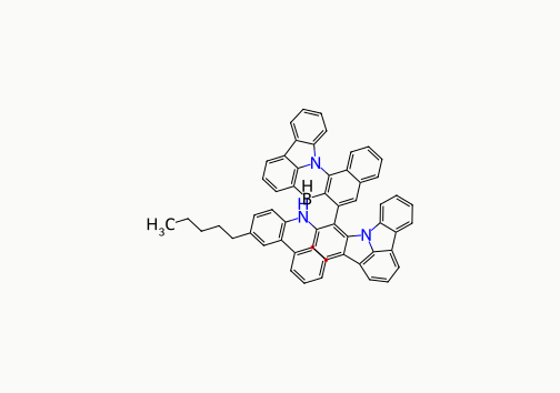 CCCCCc1ccc(Nc2ccc3c4cccc5c6ccccc6n(c3c2-c2cc3ccccc3c3c2Bc2cccc6c7ccccc7n-3c26)c54)c(-c2ccccc2)c1